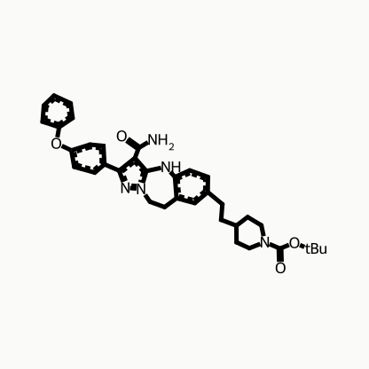 CC(C)(C)OC(=O)N1CCC(CCc2ccc3c(c2)CCn2nc(-c4ccc(Oc5ccccc5)cc4)c(C(N)=O)c2N3)CC1